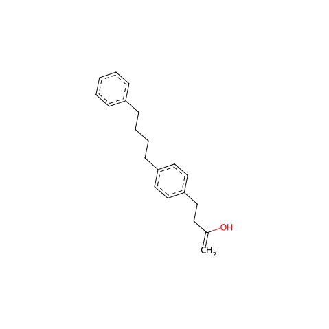 C=C(O)CCc1ccc(CCCCc2ccccc2)cc1